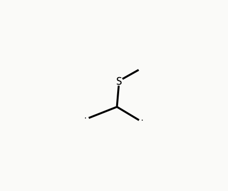 [CH2]C([CH2])SC